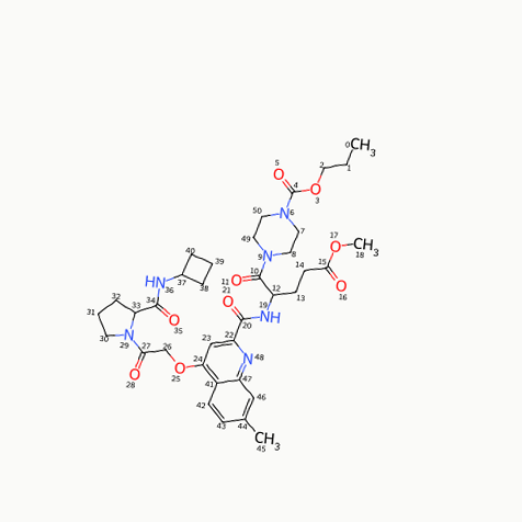 CCCOC(=O)N1CCN(C(=O)C(CCC(=O)OC)NC(=O)c2cc(OCC(=O)N3CCCC3C(=O)NC3CCC3)c3ccc(C)cc3n2)CC1